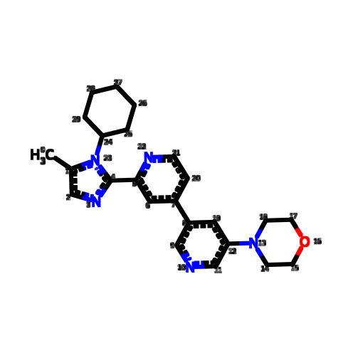 Cc1cnc(-c2cc(-c3cncc(N4CCOCC4)c3)ccn2)n1C1CCCCC1